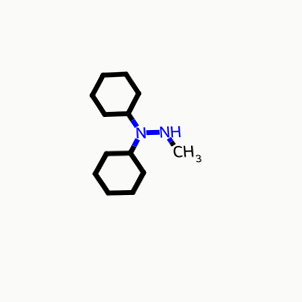 CNN(C1CCCCC1)C1CCCCC1